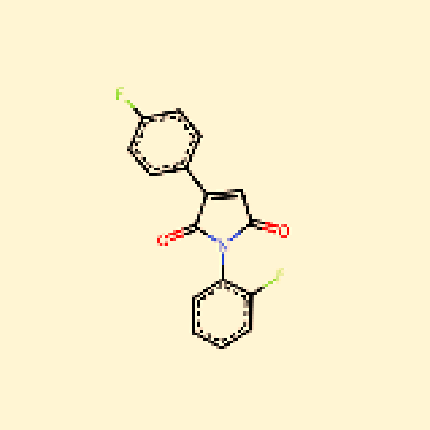 O=C1C=C(c2ccc(F)cc2)C(=O)N1c1ccccc1F